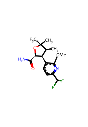 COc1nc(C(F)F)ccc1[C@H]1[C@H](C(N)=O)O[C@@](C)(C(F)(F)F)[C@H]1C